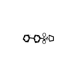 O=S(=O)(c1ccc(-c2[c]cccc2)cc1)N1CCCC1